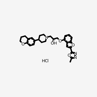 Cc1nnc(-c2cc3c(OC[C@@H](O)CN4CCC(c5ccc6c(c5)CCCO6)CC4)cccc3o2)o1.Cl